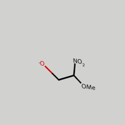 COC(C[O])[N+](=O)[O-]